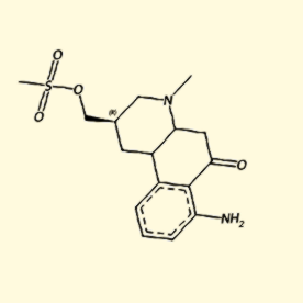 CN1C[C@H](COS(C)(=O)=O)CC2c3cccc(N)c3C(=O)CC21